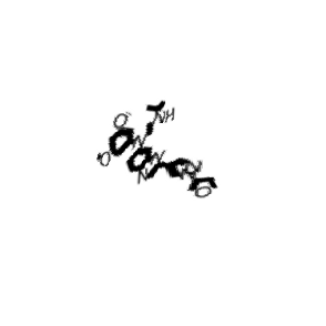 COc1cc(OC)cc(N(CCNC(C)C)c2ccc3ncc(-c4cnn(C5CCOC5)c4)nc3c2)c1